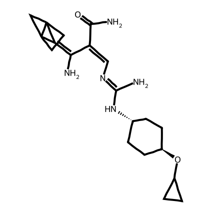 NC(=O)/C(=C/N=C(\N)N[C@H]1CC[C@H](OC2CC2)CC1)C(N)=C1C23CCC12C3